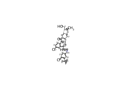 CN(CCO)Cc1ccc(C(=O)Nc2ccc(Cl)cc2C(=O)N/N=C\c2ccc(Cl)c(C(F)(F)F)c2)cc1